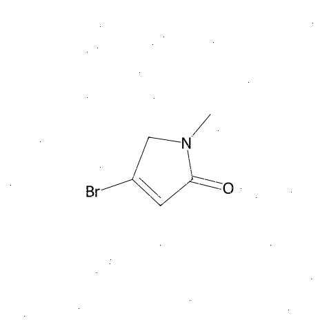 CN1CC(Br)=CC1=O